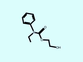 CCN(C(=O)OCCO)c1ccccc1